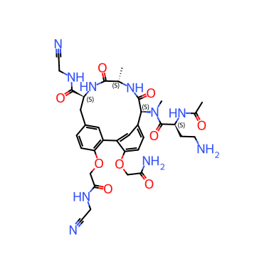 CC(=O)N[C@@H](CCN)C(=O)N(C)[C@@H]1C(=O)N[C@@H](C)C(=O)N[C@H](C(=O)NCC#N)Cc2ccc(OCC(=O)NCC#N)c(c2)-c2cc1ccc2OCC(N)=O